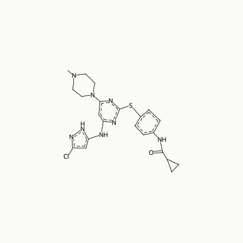 CN1CCN(c2cc(Nc3cc(Cl)n[nH]3)nc(Sc3ccc(NC(=O)C4CC4)cc3)n2)CC1